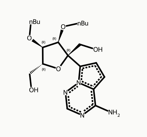 CCCCO[C@H]1[C@@H](OCCCC)[C@](CO)(c2ccc3c(N)ncnn23)O[C@@H]1CO